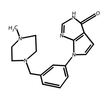 CN1CCN(Cc2cccc(-n3ccc4c(=O)[nH]cnc43)c2)CC1